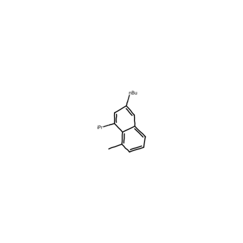 CCCCc1cc(C(C)C)c2c(C)cccc2c1